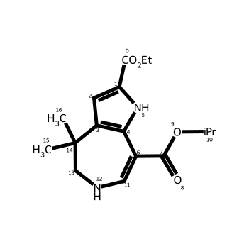 CCOC(=O)c1cc2c([nH]1)C(C(=O)OC(C)C)=CNCC2(C)C